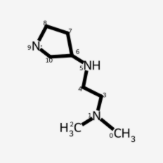 CN(C)CCNC1CC[N]C1